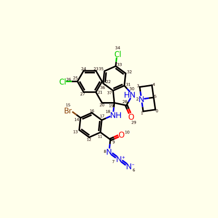 C1CN2CCC12.[N-]=[N+]=NC(=O)c1ccc(Br)cc1NC1(Cc2cccc(Cl)c2)C(=O)Nc2cc(Cl)ccc21